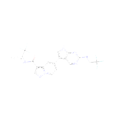 C[C@@H](NC(=O)c1cnn2ccc(-c3c[nH]c4nc(NCC(F)(F)F)ncc34)cc12)C(F)(F)F